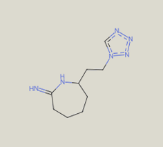 N=C1CCCCC(CCn2cnnn2)N1